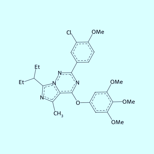 CCC(CC)c1nc(C)c2c(Oc3cc(OC)c(OC)c(OC)c3)nc(-c3ccc(OC)c(Cl)c3)nn12